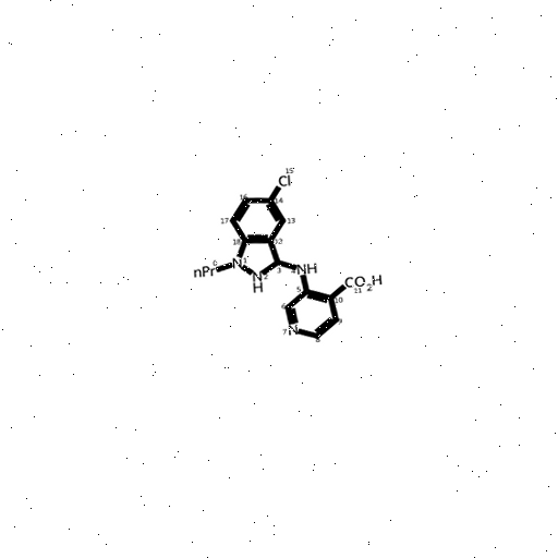 CCCN1NC(Nc2cnccc2C(=O)O)c2cc(Cl)ccc21